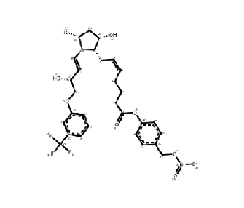 O=C(CCC/C=C\C[C@@H]1[C@@H](/C=C/[C@@H](O)COc2cccc(C(F)(F)F)c2)[C@H](O)C[C@@H]1O)Oc1ccc(CO[N+](=O)[O-])cc1